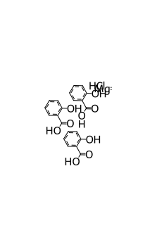 Cl.O=C(O)c1ccccc1O.O=C(O)c1ccccc1O.O=C(O)c1ccccc1O.[Mg]